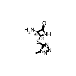 Cn1nnnc1S[C@@H]1NC(=O)[C@H]1N